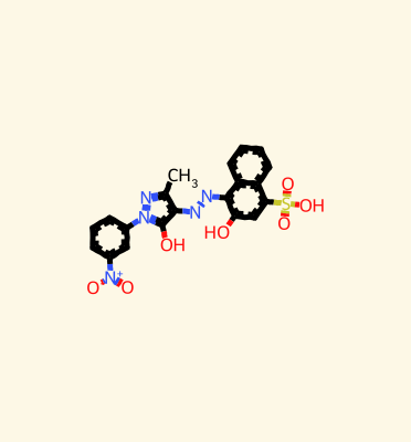 Cc1nn(-c2cccc([N+](=O)[O-])c2)c(O)c1N=Nc1c(O)cc(S(=O)(=O)O)c2ccccc12